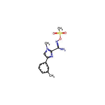 Cc1cccc(-c2cn(C)c(C(N)=NOS(C)(=O)=O)n2)c1